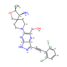 C[C@@H]1OCC2(CCN(c3nc4[nH]nc(C#Cc5c(F)cccc5F)c4nc3CO)CC2)[C@@H]1N